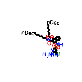 CCCCCCCCCCCCCCCCCCN(CCCCCCCCCCCCCCCCCC)C(=O)c1cc(NS(=O)(=O)c2cnc(NN)c(Cl)c2)c2ccccc2c1O